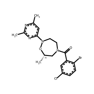 Cc1cc(N2CCN(C(=O)c3cc(Cl)ccc3Br)C[C@H](C)O2)nc(C)n1